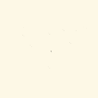 CC(=O)Nc1cc(Nc2cc(C)nc(C(C)(F)F)n2)c(O[C@H]2CCN(C)C2)cn1